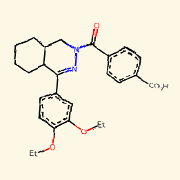 CCOc1ccc(C2=NN(C(=O)c3ccc(C(=O)O)cc3)CC3CCCCC23)cc1OCC